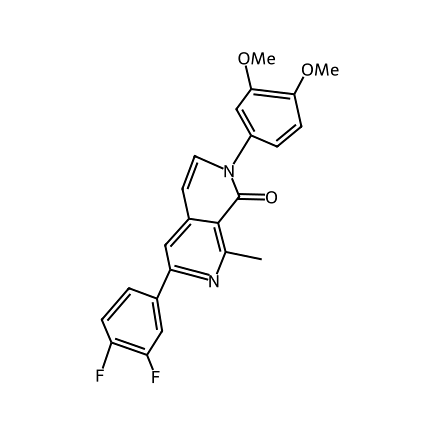 COc1ccc(-n2ccc3cc(-c4ccc(F)c(F)c4)nc(C)c3c2=O)cc1OC